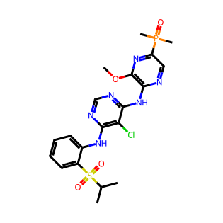 COc1nc(P(C)(C)=O)cnc1Nc1ncnc(Nc2ccccc2S(=O)(=O)C(C)C)c1Cl